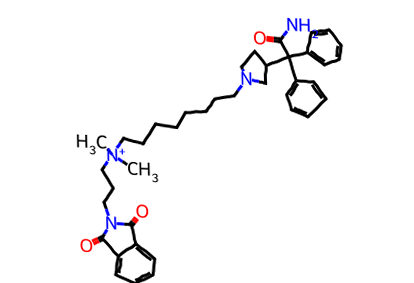 C[N+](C)(CCCCCCCCN1CCC(C(C(N)=O)(c2ccccc2)c2ccccc2)C1)CCCN1C(=O)c2ccccc2C1=O